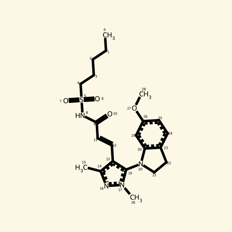 CCCCCS(=O)(=O)NC(=O)C=Cc1c(C)nn(C)c1N1CCc2ccc(OC)cc21